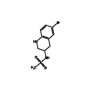 CS(=O)(=O)NC1CNc2ccc(Br)cc2C1